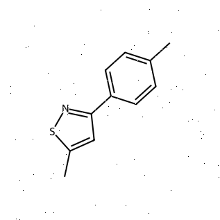 Cc1ccc(-c2cc(C)sn2)cc1